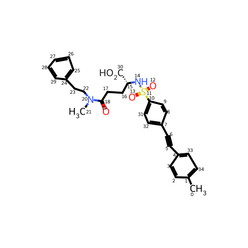 Cc1ccc(C#Cc2ccc(S(=O)(=O)N[C@H](CCC(=O)N(C)CCc3ccccc3)C(=O)O)cc2)cc1